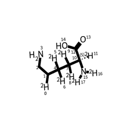 [2H]C(CN)C([2H])([2H])C([2H])([2H])[C@@]([2H])(C(=O)O)N([2H])[2H]